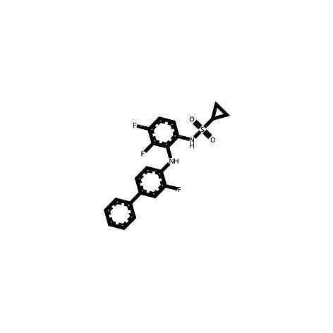 O=S(=O)(Nc1ccc(F)c(F)c1Nc1ccc(-c2ccccc2)cc1F)C1CC1